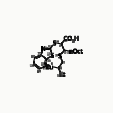 CCCCCCCCC(SCC(CC)CCCC)C(Sc1nc2ccccc2s1)C(=O)O